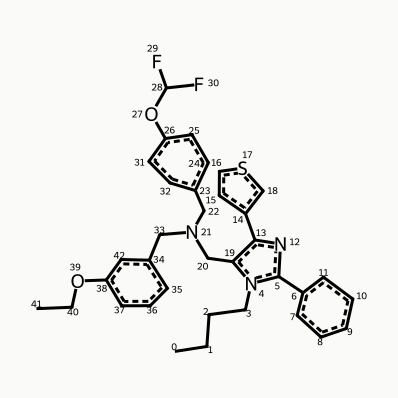 CCCCn1c(-c2ccccc2)nc(-c2ccsc2)c1CN(Cc1ccc(OC(F)F)cc1)Cc1cccc(OCC)c1